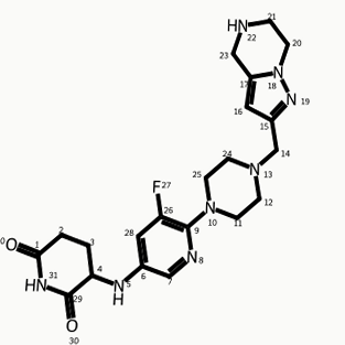 O=C1CCC(Nc2cnc(N3CCN(Cc4cc5n(n4)CCNC5)CC3)c(F)c2)C(=O)N1